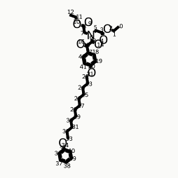 CCOC(=O)CN(CC(=O)OCC)C(=O)C(=O)c1ccc(OCCCCCCCCCCCCOc2ccccc2)cc1